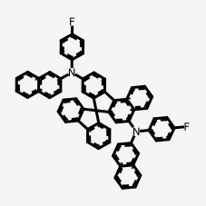 Fc1ccc(N(c2ccc3c(c2)C2(c4ccccc4-c4ccccc42)c2cc(N(c4ccc(F)cc4)c4ccc5ccccc5c4)c4ccccc4c2-3)c2ccc3ccccc3c2)cc1